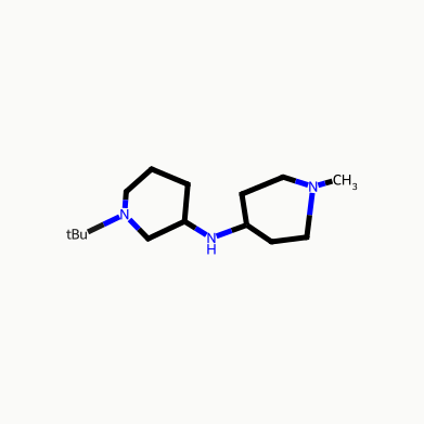 CN1CCC(NC2CCCN(C(C)(C)C)C2)CC1